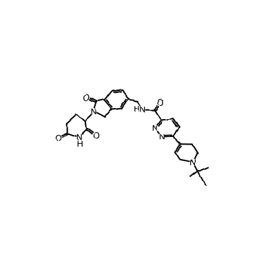 CC(C)(C)N1CC=C(c2ccc(C(=O)NCc3ccc4c(c3)CN(C3CCC(=O)NC3=O)C4=O)nn2)CC1